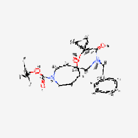 CC(C)(C)OC(=O)N1CCCC2(CC1)CN(Cc1ccccc1)C(=O)C1(CC1)O2